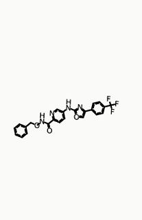 O=C(NOCc1ccccc1)c1ccc(Nc2nc(-c3ccc(C(F)(F)F)cc3)co2)cn1